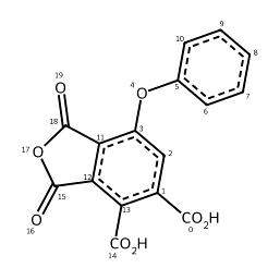 O=C(O)c1cc(Oc2ccccc2)c2c(c1C(=O)O)C(=O)OC2=O